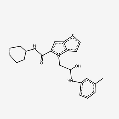 Cc1cccc(NC(O)Cn2c(C(=O)NC3CCCCC3)cc3sccc32)c1